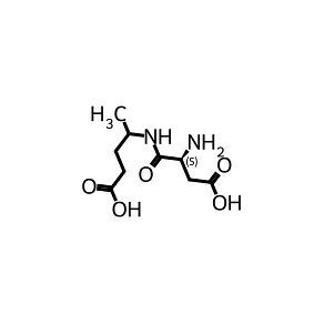 CC(CCC(=O)O)NC(=O)[C@@H](N)CC(=O)O